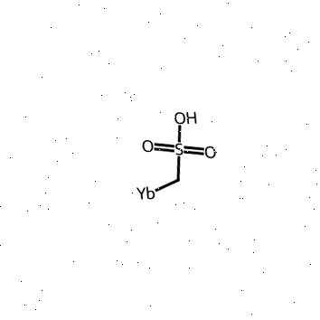 O=S(=O)(O)[CH2][Yb]